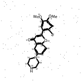 COc1cc(F)c(-c2cc(=O)c3cc(N4CCNCC4)ccc3o2)cc1OC